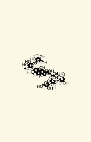 CC(C)(O)[C@@H](CC[C@](C)(O)[C@H]1CC[C@@]2(C)[C@@H]3CC=C4[C@@H](CC[C@H](O[C@@H]5O[C@H](CO[C@@H]6O[C@H](CO)[C@@H](O)[C@H](O)[C@H]6O)[C@@H](O)[C@H](O)[C@H]5O)C4(C)C)[C@]3(C)[C@H](O)C[C@]12C)O[C@@H]1O[C@H](CO[C@@H]2O[C@H](CO)C[C@H](O)[C@H]2O)[C@@H](O)[C@H](O)[C@H]1O[C@H]1C[C@@H](O)C[C@@H](CO)O1